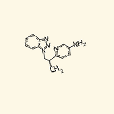 C=C(Cn1nnc2ccccc21)c1ccc(N)cn1